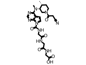 C[C@@H]1CCN(C(=O)CC#N)C[C@@H]1N(C)c1ncnc2c1ccn2C(=O)NCC(=O)NCC(=O)NCC(=O)O